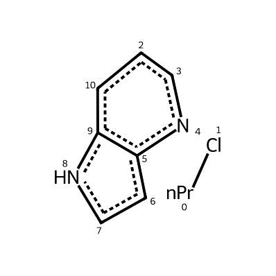 CCCCl.c1cnc2cc[nH]c2c1